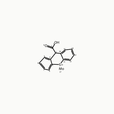 O=C(O)C1c2ccccc2Sc2ccccc21.[Mo]